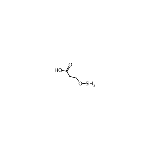 O=C(O)CCO[SiH3]